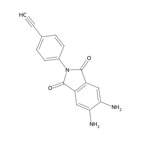 C#Cc1ccc(N2C(=O)c3cc(N)c(N)cc3C2=O)cc1